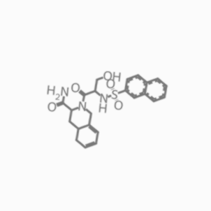 NC(=O)C1CC2CC=CC=C2CN1C(=O)C(CO)NS(=O)(=O)c1ccc2ccccc2c1